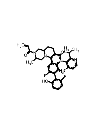 C=CC(=O)N1CC2CCc3c(c4cc(F)c(-c5c(O)cccc5F)c(Cl)c4n(-c4c(C)ccnc4C(C)C)c3=O)N2CC1C